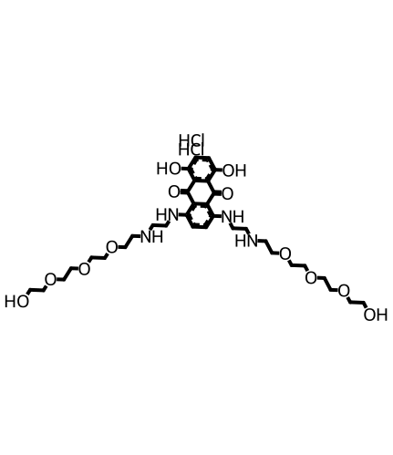 Cl.Cl.O=C1c2c(O)ccc(O)c2C(=O)c2c(NCCNCCOCCOCCOCCO)ccc(NCCNCCOCCOCCOCCO)c21